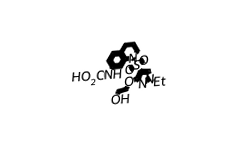 CCn1cc(S(=O)(=O)N2CCCc3ccc(NC(=O)O)cc32)c(OCCO)n1